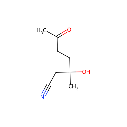 CC(=O)CCC(C)(O)CC#N